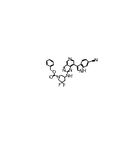 N#Cc1ccc2c(-c3cncc4cnc(NC5CN(C(=O)OCc6ccccc6)CC(F)(F)C5)nc34)c[nH]c2c1